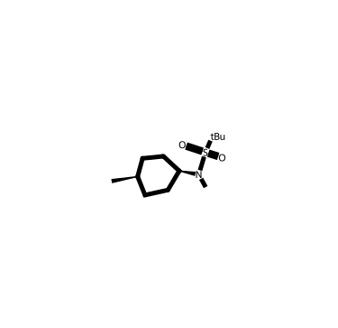 CN([C@H]1CC[C@@H](C)CC1)S(=O)(=O)C(C)(C)C